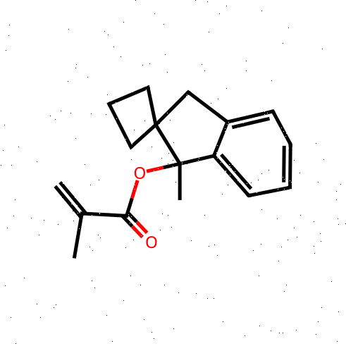 C=C(C)C(=O)OC1(C)c2ccccc2CC12CCC2